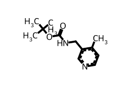 Cc1ccncc1CNC(=O)OC(C)(C)C